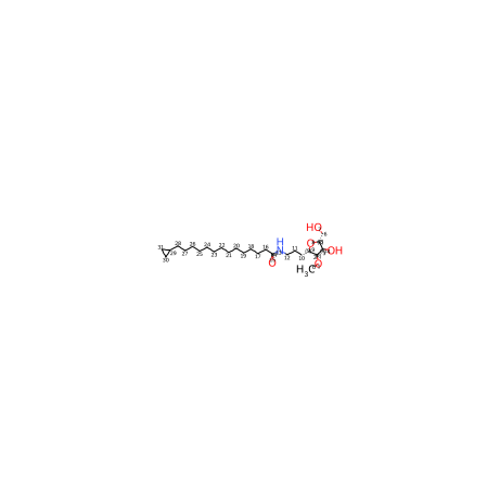 CO[C@@H]1[C@H](O)[C@@H](CO)O[C@H]1CCCNC(=O)CCCCCCCCCCCCCC1CC1